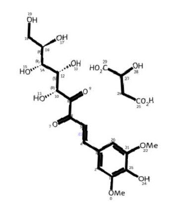 COc1cc(/C=C/C(=O)C(=O)[C@H](O)[C@@H](O)[C@H](O)[C@H](O)CO)cc(OC)c1O.O=C(O)CC(O)C(=O)O